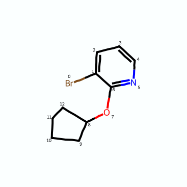 Brc1cccnc1OC1CCCC1